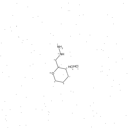 Cl.Cl.NNCC1CCCCO1